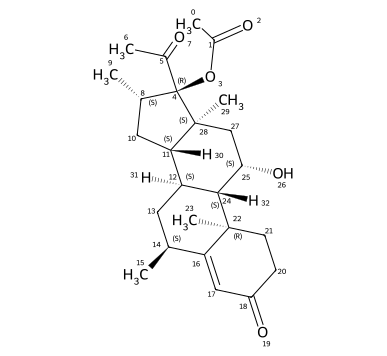 CC(=O)O[C@]1(C(C)=O)[C@@H](C)C[C@H]2[C@@H]3C[C@H](C)C4=CC(=O)CC[C@]4(C)[C@H]3[C@@H](O)C[C@@]21C